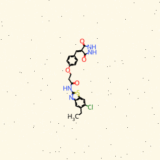 CCc1cc2nc(NC(=O)CCOc3ccc(C=C4C(=O)NNC4=O)cc3)sc2cc1Cl